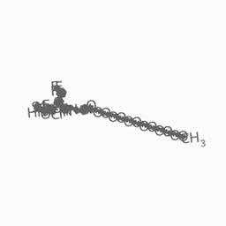 COCCOCCOCCOCCOCCOCCOCCOCCOCCOCCOCCOCCC(=O)N1CCC(CCNCc2cc(-c3cc(-c4cccc(C(F)(F)F)c4)ccc3Oc3cc(F)c(S(=O)(=O)Nc4cscn4)cc3Cl)ccn2)CC1